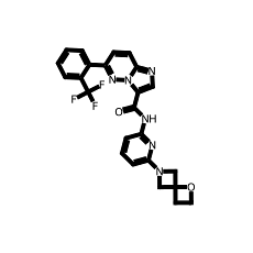 O=C(Nc1cccc(N2CC3(CCO3)C2)n1)c1cnc2ccc(-c3ccccc3C(F)(F)F)nn12